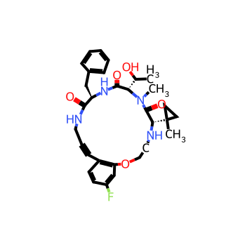 CC(O)[C@H]1C(=O)N[C@H](Cc2ccccc2)C(=O)NCC#Cc2ccc(F)cc2OCCN[C@@H](C2(C)CC2)C(=O)N1C